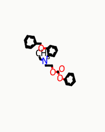 CCN(CCOC(=O)Oc1ccccc1)c1ccccc1OCc1ccccc1